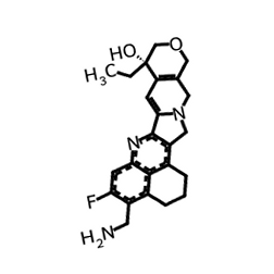 CC[C@@]1(O)COCC2=C1C=C1c3nc4cc(F)c(CN)c5c4c(c3CN1C2)CCC5